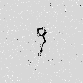 O=COCC1=COCO1